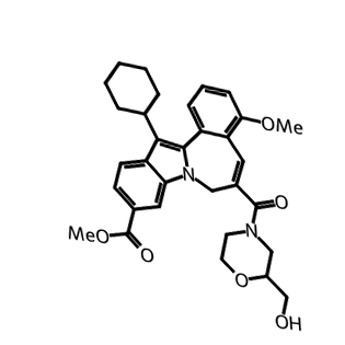 COC(=O)c1ccc2c(C3CCCCC3)c3n(c2c1)CC(C(=O)N1CCOC(CO)C1)=Cc1c(OC)cccc1-3